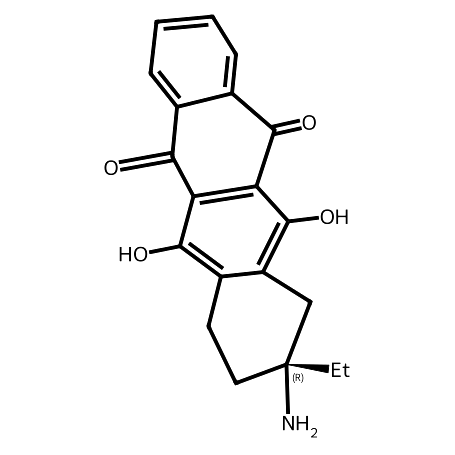 CC[C@@]1(N)CCc2c(O)c3c(c(O)c2C1)C(=O)c1ccccc1C3=O